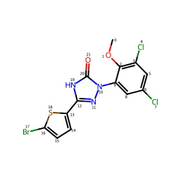 COc1c(Cl)cc(Cl)cc1-n1nc(-c2ccc(Br)s2)[nH]c1=O